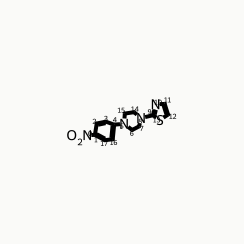 O=[N+]([O-])c1ccc(N2CCN(c3nccs3)CC2)cc1